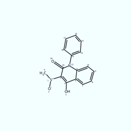 C[S+]([O-])c1c(O)c2ccccc2n(-c2ccccc2)c1=O